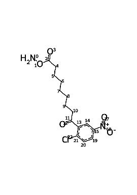 NOC(=O)CCCCCCCC(=O)c1cc([N+](=O)[O-])ccc1Cl